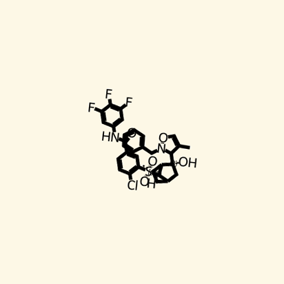 CC1=CON(Cc2ccccc2)C1[C@@]1(O)CC2C[C@H](C)C1[C@@H]2S(=O)(=O)c1cc(C(=O)Nc2cc(F)c(F)c(F)c2)ccc1Cl